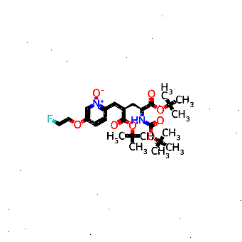 CC(C)(C)OC(=O)N[C@@H](C[C@H](Cc1ccc(OCCF)c[n+]1[O-])C(=O)OC(C)(C)C)C(=O)OC(C)(C)C